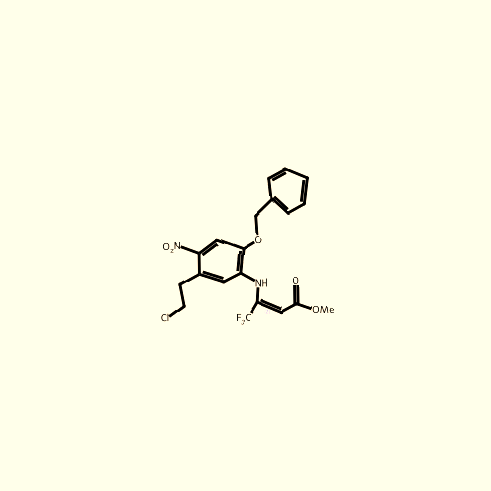 COC(=O)/C=C(\Nc1cc(CCCl)c([N+](=O)[O-])cc1OCc1ccccc1)C(F)(F)F